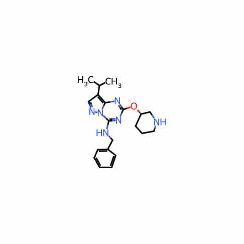 CC(C)c1cnn2c(NCc3ccccc3)nc(O[C@@H]3CCCNC3)nc12